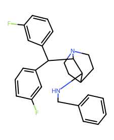 Fc1cccc(C(c2cccc(F)c2)C2C(NCc3ccccc3)C3CCN2CC3)c1